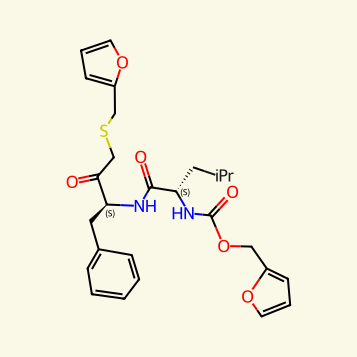 CC(C)C[C@H](NC(=O)OCc1ccco1)C(=O)N[C@@H](Cc1ccccc1)C(=O)CSCc1ccco1